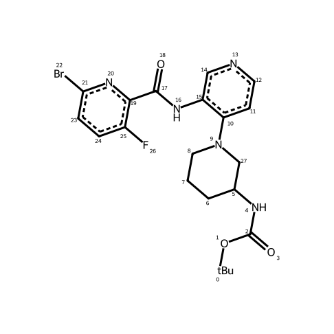 CC(C)(C)OC(=O)NC1CCCN(c2ccncc2NC(=O)c2nc(Br)ccc2F)C1